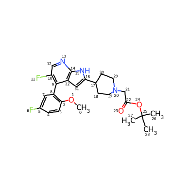 COc1ccc(F)cc1-c1c(F)cnc2[nH]c(C3CCN(CC(=O)OC(C)(C)C)CC3)cc12